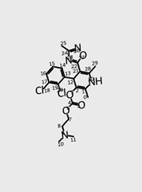 CC1=C(OC(=O)OCCN(C)C)C(c2cccc(Cl)c2Cl)C(c2nc(C)no2)=C(C)N1